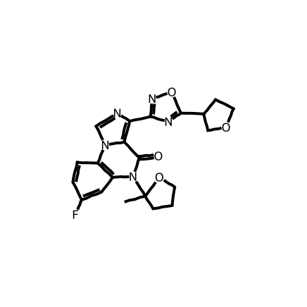 CC1(n2c(=O)c3c(-c4noc(C5CCOC5)n4)ncn3c3ccc(F)cc32)CCCO1